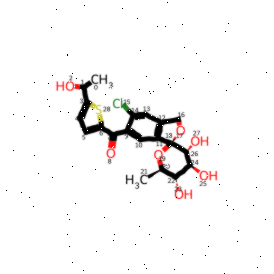 CC(O)c1ccc(C(=O)c2cc3c(cc2Cl)CO[C@]32O[C@H](C)[C@@H](O)[C@H](O)[C@H]2O)s1